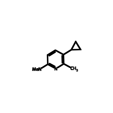 CNc1ccc(C2CC2)c(C)n1